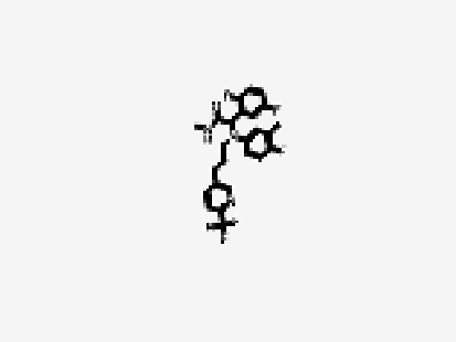 CNC(=O)C(c1cc(F)ccc1F)N(CCCc1ccc(C(F)(F)F)nc1)c1ccc(F)c(C)c1